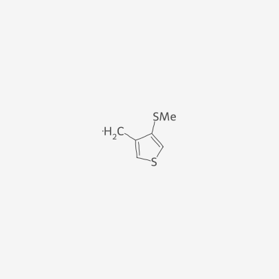 [CH2]c1cscc1SC